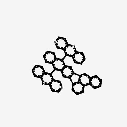 c1ccc2c(c1)cc1c3c(cccc32)-c2cc3c(-c4c5ccccc5nc5ccncc45)c4ccccc4c(-c4c5ccccc5nc5ccncc45)c3cc2-1